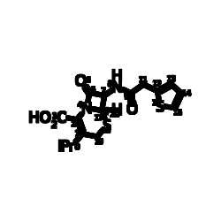 CC(C)C1=C(C(=O)O)N2C(=O)C(NC(=O)Cc3cccs3)[C@@H]2SC1